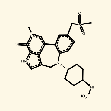 Cn1cc2c3c(c[nH]c3c1=O)CN([C@H]1CC[C@H](NC(=O)O)CC1)c1ccc(CS(C)(=O)=O)cc1-2